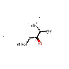 CCCCCCCCC(=O)C(CCC)CCCC